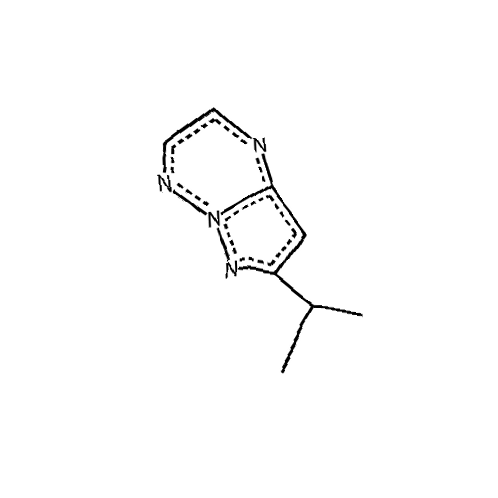 CC(C)c1cc2nccnn2n1